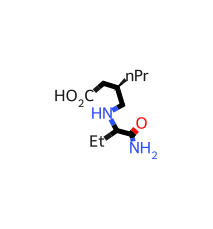 CCC[C@@H](CNC(CC)C(N)=O)CC(=O)O